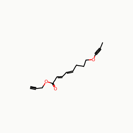 C#CCOC(=O)C=CC=CCCCOC#CC